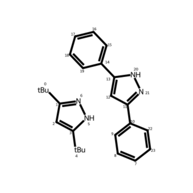 CC(C)(C)c1cc(C(C)(C)C)[nH]n1.c1ccc(-c2cc(-c3ccccc3)[nH]n2)cc1